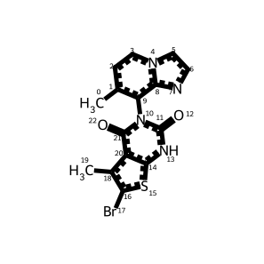 Cc1ccn2ccnc2c1-n1c(=O)[nH]c2sc(Br)c(C)c2c1=O